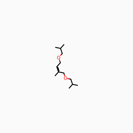 C/C(=C/COCC(C)C)COCC(C)C